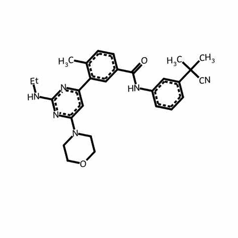 CCNc1nc(-c2cc(C(=O)Nc3cccc(C(C)(C)C#N)c3)ccc2C)cc(N2CCOCC2)n1